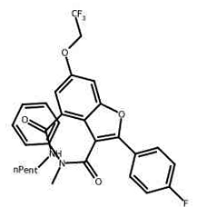 CCCCCNC(=O)c1cc(OCC(F)(F)F)cc2oc(-c3ccc(F)cc3)c(C(=O)N(C)c3ccccc3)c12